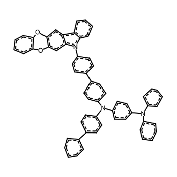 c1ccc(-c2ccc(N(c3ccc(-c4ccc(-n5c6ccccc6c6cc7c(cc65)Oc5ccccc5O7)cc4)cc3)c3ccc(N(c4ccccc4)c4ccccc4)cc3)cc2)cc1